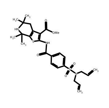 C=CCN(CC=C)S(=O)(=O)c1ccc(C(=O)Nc2sc3c(c2C(=O)OC)CC(C)(C)NC3(C)C)cc1